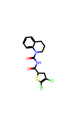 O=C(NC(=O)N1CCCc2ccccc21)C1CC(Cl)=C(Cl)S1